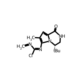 C=N/C(Cl)=N\c1c(C)cc2n1[C@@H](C(C)(C)C)CNC2=O